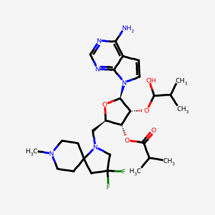 CC(C)C(=O)O[C@H]1[C@@H](OC(O)C(C)C)[C@H](n2ccc3c(N)ncnc32)O[C@@H]1CN1CC(F)(F)CC12CCN(C)CC2